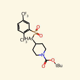 CC(C)(C)OC(=O)N1CCC([AsH]S(=O)(=O)c2cc(C(F)(F)F)ccc2C(F)(F)F)CC1